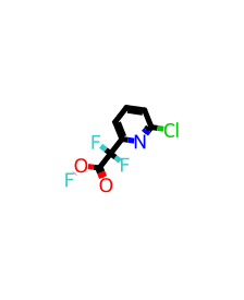 O=C(OF)C(F)(F)c1cccc(Cl)n1